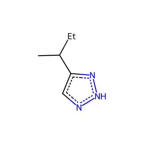 CCC(C)c1cn[nH]n1